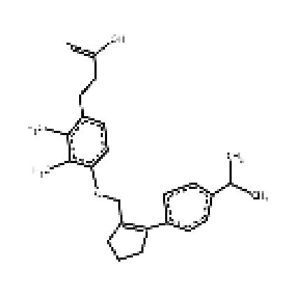 Cc1c(CCC(=O)O)ccc(OCC2=C(c3ccc(C(C)C)cc3)CCC2)c1C